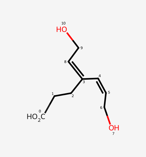 O=C(O)CCC(/C=C\CO)=C/CO